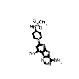 CCCc1cc(N2CCC(NS(C)(=O)=O)CC2)nc2c1C1N=CN=C(N)C1S2